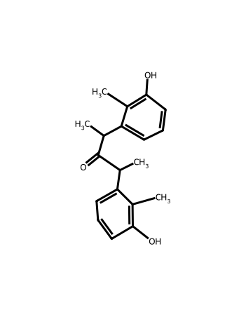 Cc1c(O)cccc1C(C)C(=O)C(C)c1cccc(O)c1C